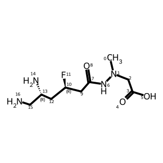 CN(CC(=O)O)NC(=O)C[C@H](F)C[C@@H](N)CN